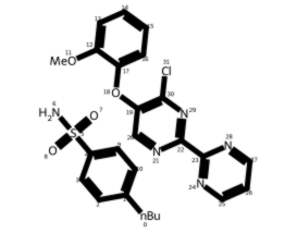 CCCCc1ccc(S(N)(=O)=O)cc1.COc1ccccc1Oc1cnc(-c2ncccn2)nc1Cl